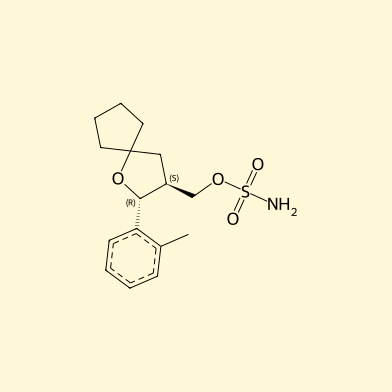 Cc1ccccc1[C@@H]1OC2(CCCC2)C[C@H]1COS(N)(=O)=O